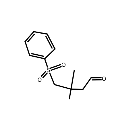 CC(C)(CC=O)CS(=O)(=O)c1ccccc1